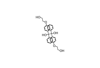 OCCOc1ccc(C(O)(c2ccccc2)C(O)(c2ccccc2)c2ccc(OCCO)cc2)cc1